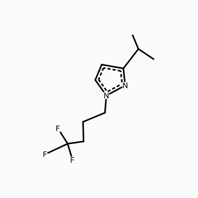 CC(C)c1ccn(CCCC(F)(F)F)n1